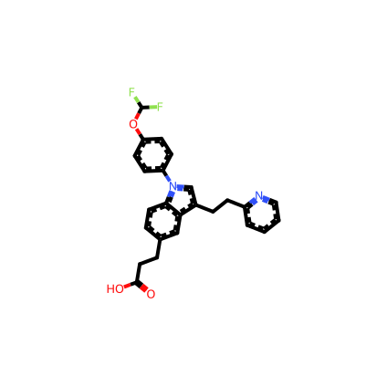 O=C(O)CCc1ccc2c(c1)c(CCc1ccccn1)cn2-c1ccc(OC(F)F)cc1